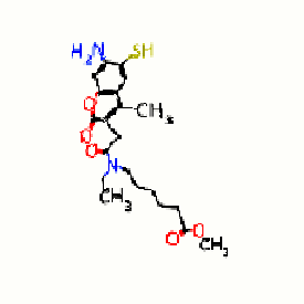 CCN(CCCCCC(=O)OC)C(=O)Cc1c(C)c2cc(S)c(N)cc2oc1=O